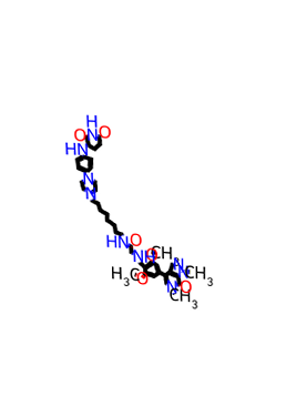 COc1cc(-c2cn(C)c(=O)c3c2cnn3C)cc(OC)c1CNCC(=O)NCCCCCCCCN1CCN(c2ccc(NC3CCC(=O)NC3=O)cc2)CC1